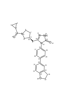 O=C(C1CC1)N1CC[C@@H](Cc2n[nH]c(=O)n2-c2ccc(-c3ccc4c(c3)CCO4)cc2)C1